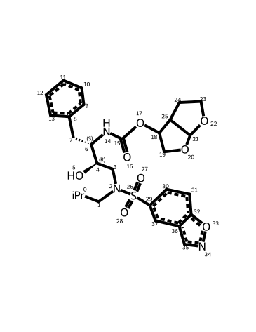 CC(C)CN(C[C@@H](O)[C@H](Cc1ccccc1)NC(=O)OC1COC2OCCC12)S(=O)(=O)c1ccc2oncc2c1